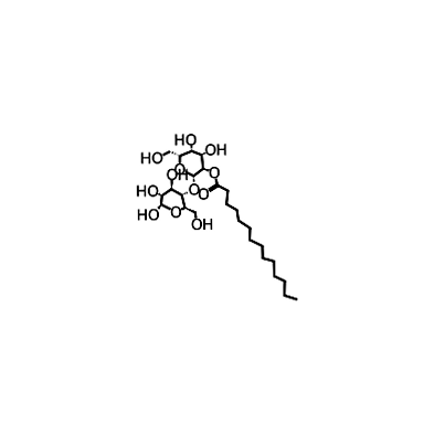 CCCCCCCCCCCCCC(=O)O[C@H]1[C@H](O[C@H]2[C@H](O)[C@@H](O)[C@H](O)O[C@@H]2CO)O[C@H](CO)[C@H](O)[C@@H]1O